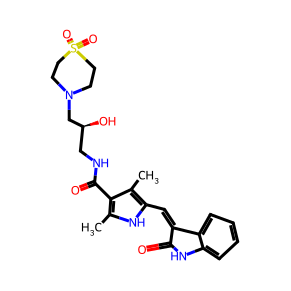 Cc1[nH]c(/C=C2\C(=O)Nc3ccccc32)c(C)c1C(=O)NC[C@H](O)CN1CCS(=O)(=O)CC1